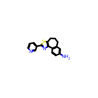 Nc1ccc2c(c1)CCCc1sc(-c3cccnc3)nc1-2